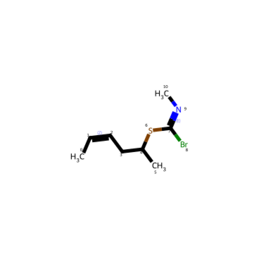 C/C=C\CC(C)S/C(Br)=N\C